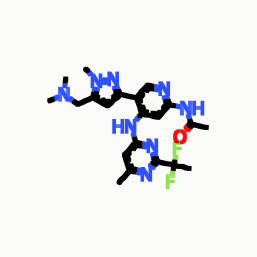 CC(=O)Nc1cc(Nc2cc(C)nc(C(C)(F)F)n2)c(-c2cc(CN(C)C)n(C)n2)cn1